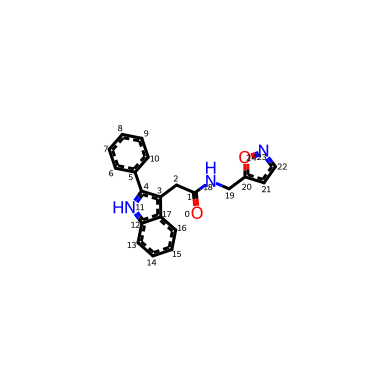 O=C(Cc1c(-c2ccccc2)[nH]c2ccccc12)NCc1ccno1